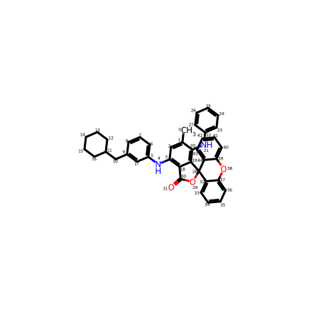 Cc1cc(Nc2cccc(CC3CCCCC3)c2)c2c(c1Nc1ccccc1)C1(OC2=O)c2ccccc2Oc2ccccc21